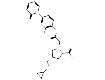 NC(=O)C1[CH][C@@H](CNC2CC2)CN1CC(=O)Nc1ccc(-n2ccccc2=O)cc1F